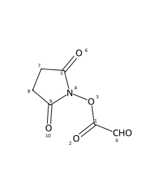 O=CC(=O)ON1C(=O)CCC1=O